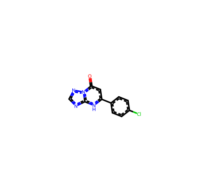 O=c1cc(-c2ccc(Cl)cc2)[nH]c2ncnn12